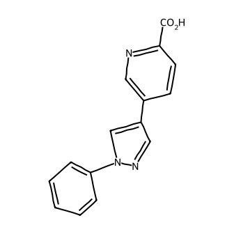 O=C(O)c1ccc(-c2cnn(-c3ccccc3)c2)cn1